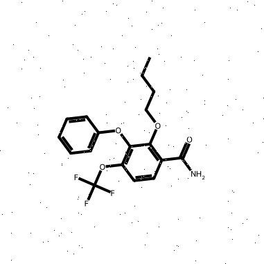 CCCCOc1c(C(N)=O)ccc(OC(F)(F)F)c1Oc1ccccc1